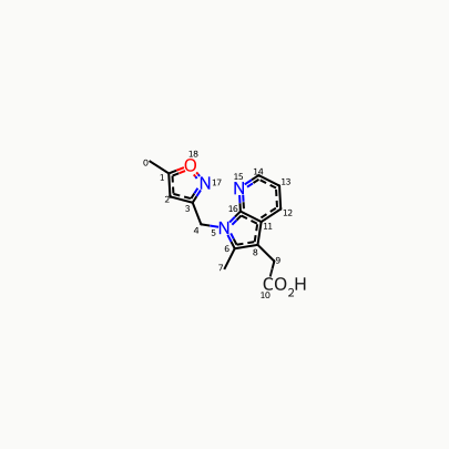 Cc1cc(Cn2c(C)c(CC(=O)O)c3cccnc32)no1